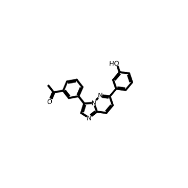 CC(=O)c1cccc(-c2cnc3ccc(-c4cccc(O)c4)nn23)c1